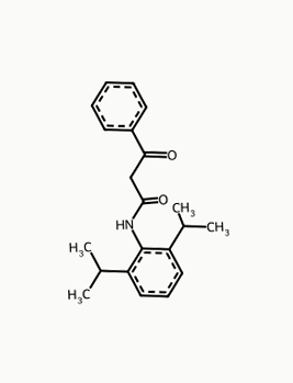 CC(C)c1cccc(C(C)C)c1NC(=O)CC(=O)c1ccccc1